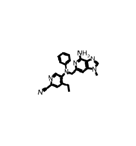 CCc1cc(C#N)ncc1N(Cc1cc2c(ncn2C)c(N)n1)c1ccccc1